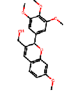 COc1ccc2c(c1)OC(c1cc(OC)c(OC)c(OC)c1)C(CO)=C2